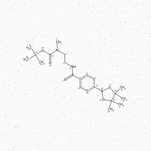 CN(CCNC(=O)c1ccc(B2OC(C)(C)C(C)(C)O2)cc1)C(=O)OC(C)(C)C